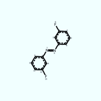 Fc1cccc(N=Nc2cccc(F)c2)c1